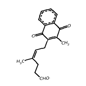 CC(=CCC1=C(C)C(=O)c2ccccc2C1=O)CC[C]=O